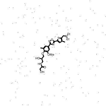 CCN(CC)Cc1sc(-c2nc(-c3cc(C)c(OCC(O)CNC(=O)CO)c(OC)c3)no2)cc1C